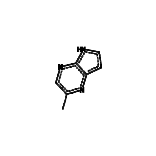 Cc1cnc2[nH]ccc2n1